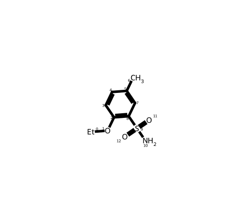 CCOc1ccc(C)cc1S(N)(=O)=O